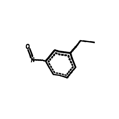 CCc1cccc(N=O)c1